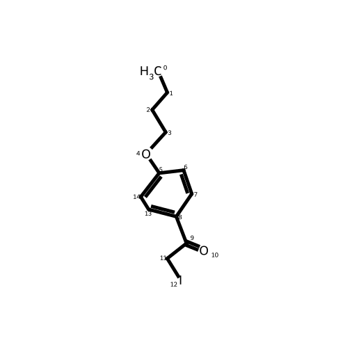 CCCCOc1ccc(C(=O)CI)cc1